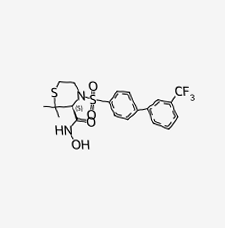 CC1(C)SCCN(S(=O)(=O)c2ccc(-c3cccc(C(F)(F)F)c3)cc2)[C@H]1C(=O)NO